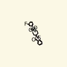 O=c1c2ccccc2sn1C1CCN(S(=O)(=O)c2cccc(F)c2)CC1